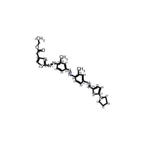 CCOC(=O)Cc1csc(/N=N/c2ccc(/N=N/c3ccc(/N=N/c4ccc(N5CCCC5)s4)cc3C)cc2C)n1